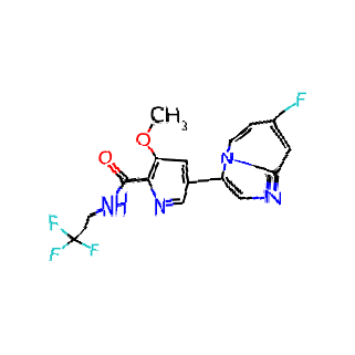 COc1cc(-c2cnc3cc(F)ccn23)cnc1C(=O)NCC(F)(F)F